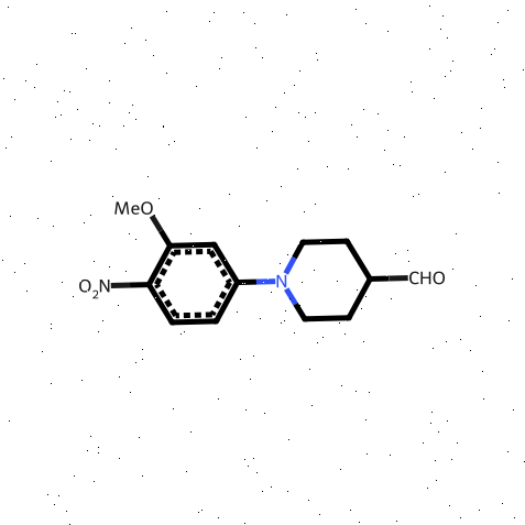 COc1cc(N2CCC(C=O)CC2)ccc1[N+](=O)[O-]